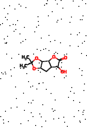 CC1(C)OC2CC3C(O)C(=O)OC3C2O1